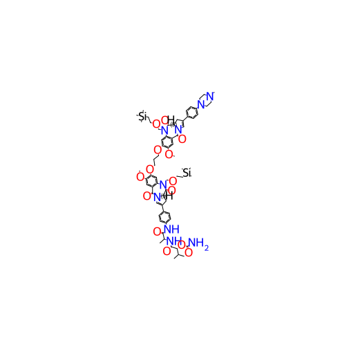 COc1cc2c(cc1OCCCOc1cc3c(cc1OC)C(=O)N1C=C(c4ccc(N5CCN(C)CC5)cc4)C[C@H]1C(=O)N3COCC[Si](C)(C)C)N(COCC[Si](C)(C)C)C(=O)[C@@H]1CC(c3ccc(NC(=O)C(C)NC(=O)C(OC(N)=O)C(C)C)cc3)=CN1C2=O